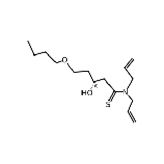 C=CCN(CC=C)C(=S)C[C@H](O)CCOCCCC